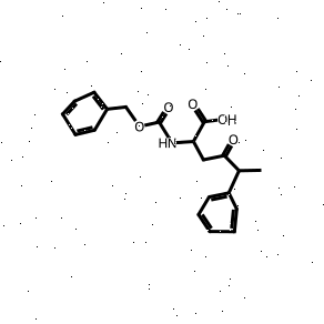 CC(C(=O)CC(NC(=O)OCc1ccccc1)C(=O)O)c1ccccc1